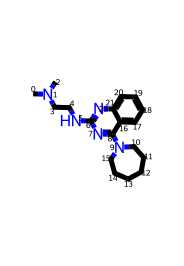 CN(C)CCNc1nc(N2CCCCCC2)c2ccccc2n1